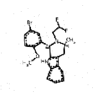 COc1ccc(Br)cc1[C@@H]1c2[nH]c3ccccc3c2C[C@@H](C)N1CC(F)F